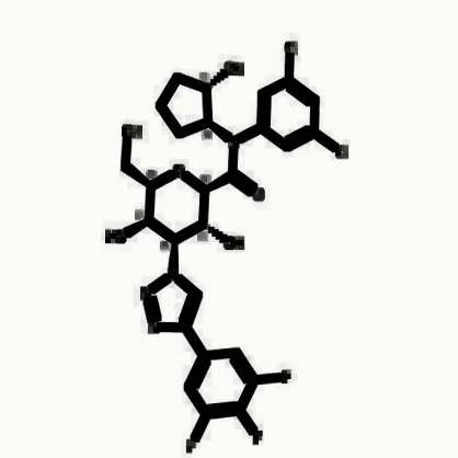 O=C([C@@H]1O[C@H](CO)[C@H](O)[C@H](n2cc(-c3cc(F)c(F)c(F)c3)nn2)[C@H]1O)N(c1cc(Cl)cc(Cl)c1)[C@H]1CCC[C@@H]1O